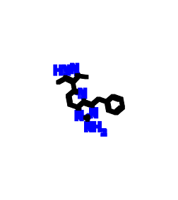 Cc1n[nH]c(C)c1-c1ccc2nc(N)nc(Cc3ccccc3)c2n1